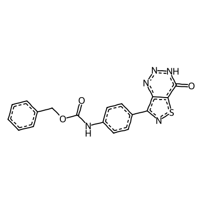 O=C(Nc1ccc(-c2nsc3c(=O)[nH]nnc23)cc1)OCc1ccccc1